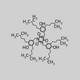 CC(C)CCCc1cc(Cn2c(=O)n(Cc3cc(CCCC(C)C)c(O)c(CCCC(C)C)c3)c(=O)n(Cc3cc(CCCC(C)C)c(O)c(CCCC(C)C)c3)c2=O)cc(CCCC(C)C)c1O